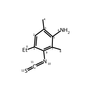 CCc1cc(C)c(N)c(C)c1N=C=S